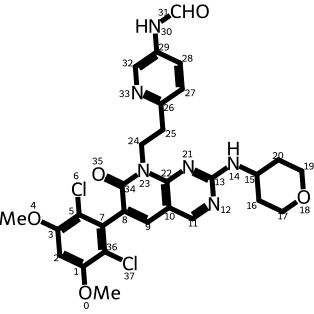 COc1cc(OC)c(Cl)c(-c2cc3cnc(NC4CCOCC4)nc3n(CCc3ccc(NC=O)cn3)c2=O)c1Cl